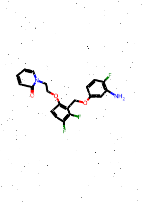 Nc1cc(OCc2c(OCCn3ccccc3=O)ccc(F)c2F)ccc1F